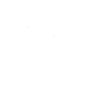 CCOC(=O)Cc1csc(-c2cccc(COc3cc(OCc4cccc(-c5ccc6c(c5)OCCO6)c4C)c(Cl)cc3CN[C@@](C)(CO)C(=O)O)c2)n1